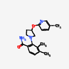 Cc1ccc(C(N)=O)c(N2CCC(Oc3ccc(C(F)(F)F)cn3)C2)c1C